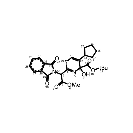 COC(=O)C(C1=NC(O)(C(=O)OC(C)(C)C)C(C2CCCC2)=CS1)N1C(=O)c2ccccc2C1=O